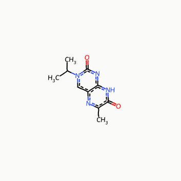 Cc1nc2cn(C(C)C)c(=O)nc2[nH]c1=O